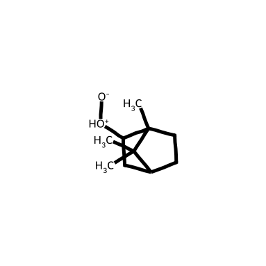 CC1(C)C2CCC1(C)C([OH+][O-])C2